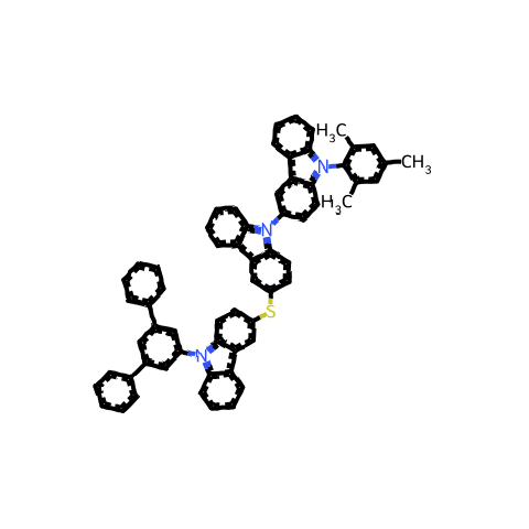 Cc1cc(C)c(-n2c3ccccc3c3cc(-n4c5ccccc5c5cc(Sc6ccc7c(c6)c6ccccc6n7-c6cc(-c7ccccc7)cc(-c7ccccc7)c6)ccc54)ccc32)c(C)c1